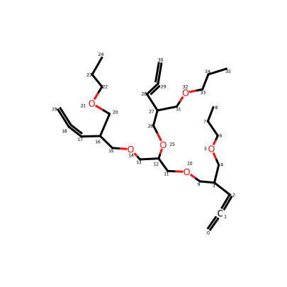 C=C=CC(COCCC)COCC(COCC(C=C=C)COCCC)OCC(C=C=C)COCCC